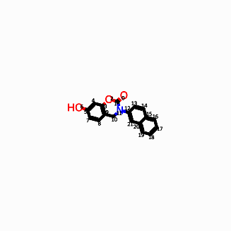 O=C1Oc2cc(O)ccc2CN1c1ccc2ccccc2c1